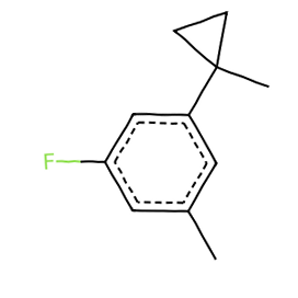 Cc1cc(F)cc(C2(C)CC2)c1